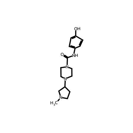 CN1CCC(N2CCN(C(=O)Nc3ccc(O)cc3)CC2)C1